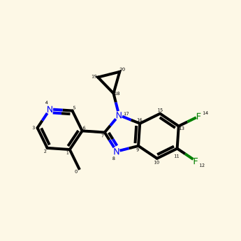 Cc1ccncc1-c1nc2cc(F)c(F)cc2n1C1CC1